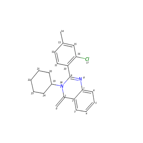 C=C1c2ccccc2N=C(c2ccc(C)cc2Cl)N1C1CCCCC1